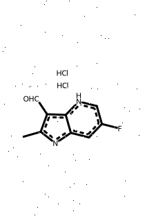 Cc1nc2cc(F)c[nH]c-2c1C=O.Cl.Cl